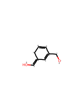 [O]CC1=CC(=CO)CC=C1